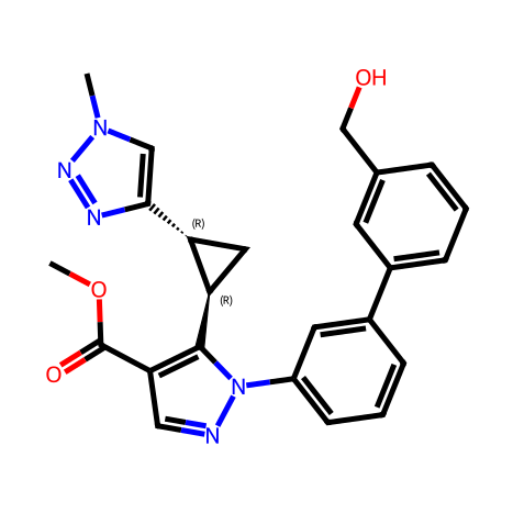 COC(=O)c1cnn(-c2cccc(-c3cccc(CO)c3)c2)c1[C@@H]1C[C@H]1c1cn(C)nn1